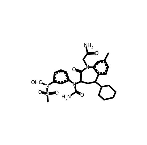 Cc1ccc2c(c1)N(CC(N)=O)C(=O)C(N(C(N)=O)c1cccc(N(C=O)S(C)(=O)=O)c1)CC2C1CCCCC1